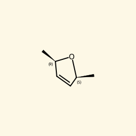 C[C@@H]1C=C[C@H](C)O1